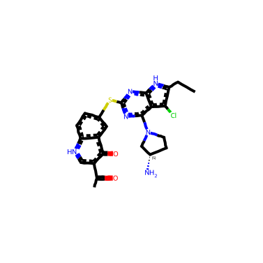 CCc1[nH]c2nc(Sc3ccc4[nH]cc(C(C)=O)c(=O)c4c3)nc(N3CC[C@H](N)C3)c2c1Cl